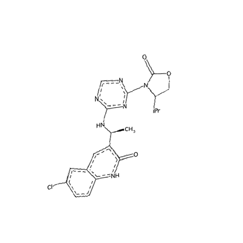 CC(C)C1COC(=O)N1c1ncnc(N[C@@H](C)c2cc3cc(Cl)ccc3[nH]c2=O)n1